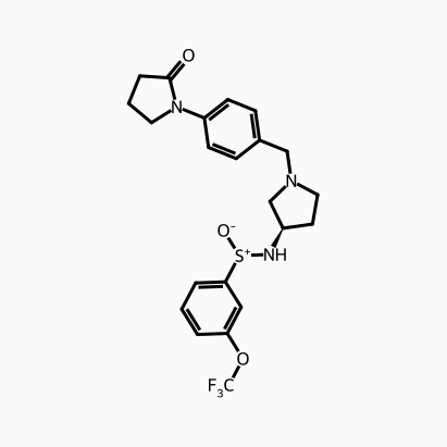 O=C1CCCN1c1ccc(CN2CC[C@@H](N[S+]([O-])c3cccc(OC(F)(F)F)c3)C2)cc1